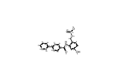 O=C(Nc1cc(O)ccc1CO[PH](=O)O)c1cnc(-c2cccnn2)nc1